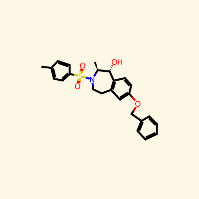 Cc1ccc(S(=O)(=O)N2CCc3cc(OCc4ccccc4)ccc3[C@@H](O)[C@@H]2C)cc1